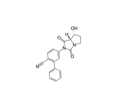 N#Cc1ccc(N2C(=O)[C@@H]3[C@H](O)CCN3C2=O)cc1-c1ccccc1